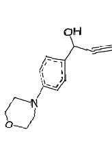 C#CC(O)c1ccc(N2CCOCC2)cc1